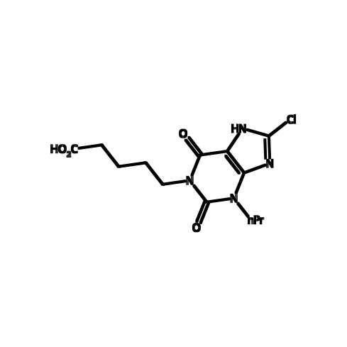 CCCn1c(=O)n(CCCCC(=O)O)c(=O)c2[nH]c(Cl)nc21